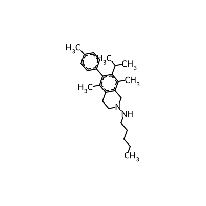 CCCCCNN1CCc2c(C)c(-c3ccc(C)cc3)c(C(C)C)c(C)c2C1